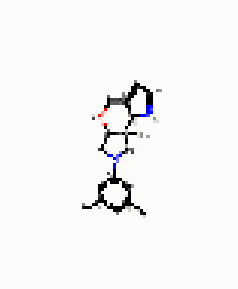 Cc1cc(C)cc(N2CC3OCC4=CC=NC4[C@@H]3C2)c1